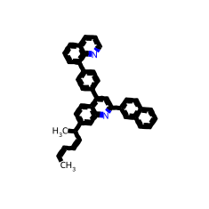 C/C=C\C=C/C(C)c1ccc2c(-c3ccc(-c4cccc5cccnc45)cc3)cc(-c3ccc4ccccc4c3)nc2c1